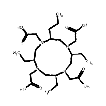 CCC[C@H]1CN(CC(=O)O)[C@@H](CC)CN(CC(=O)O)[C@@H](CC)CN(CC(=O)O)[C@@H](CC)CN1CC(=O)O